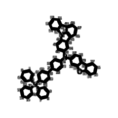 c1ccc([Si](c2ccccc2)(c2ccccc2)c2ccc(-c3ccc(N(c4ccc5c(c4)oc4ccccc45)c4ccc5c(c4)c4cccc6c7ccccc7n5c64)cc3)cc2)cc1